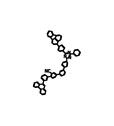 N#Cc1cc(-c2cccc(-c3ccc(-c4nc(-c5ccccc5)nc(-c5ccc(-c6ccc7c8c(cccc68)-c6ccccc6-7)cc5)n4)cc3)c2)ccc1-c1cccc(-c2cc3ccccc3c3ccccc23)c1